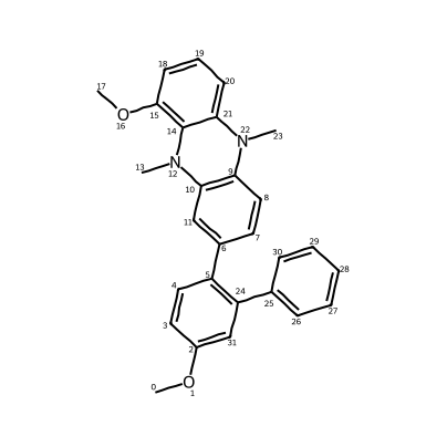 COc1ccc(-c2ccc3c(c2)N(C)c2c(OC)cccc2N3C)c(-c2ccccc2)c1